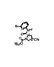 CC(C)(C)OC(=O)N1C[C@H](C#N)C[C@H]1C(=O)Nc1cccc(Br)n1